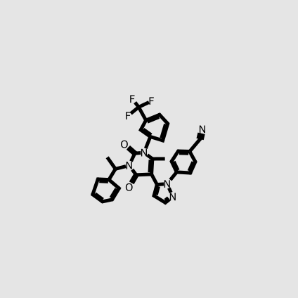 Cc1c(-c2ccnn2-c2ccc(C#N)cc2)c(=O)n(C(C)c2ccccc2)c(=O)n1-c1cccc(C(F)(F)F)c1